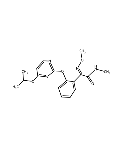 CNC(=O)/C(=N\OC)c1ccccc1Oc1nccc(OC(C)C)n1